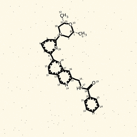 C[C@@H]1CN(c2cccc(-c3ccc4cnc(CNC(=O)c5ccccc5)cc4n3)n2)C[C@H](C)O1